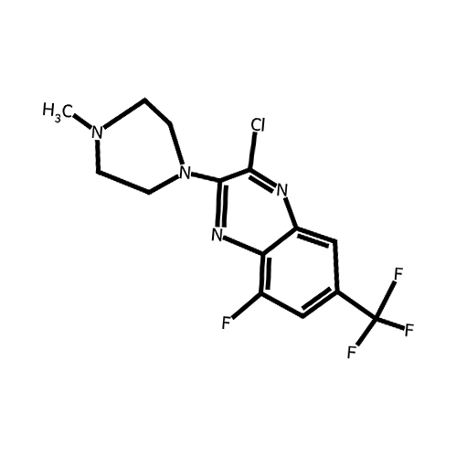 CN1CCN(c2nc3c(F)cc(C(F)(F)F)cc3nc2Cl)CC1